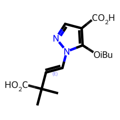 CC(C)COc1c(C(=O)O)cnn1/C=C/C(C)(C)C(=O)O